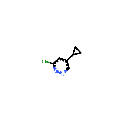 Clc1cc(C2CC2)cnn1